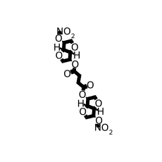 O=C(CCC(=O)O[C@@H]1CO[C@H]2[C@@H]1OC[C@H]2O[N+](=O)[O-])O[C@@H]1CO[C@H]2[C@@H]1OC[C@H]2O[N+](=O)[O-]